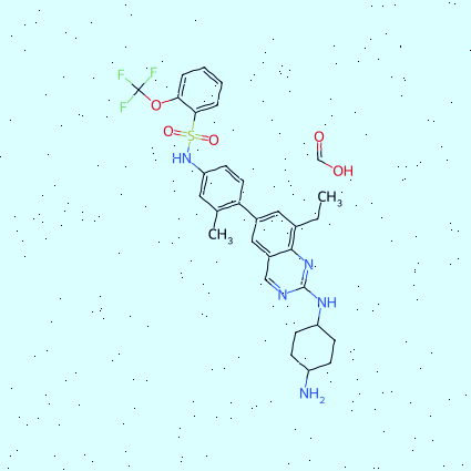 CCc1cc(-c2ccc(NS(=O)(=O)c3ccccc3OC(F)(F)F)cc2C)cc2cnc(NC3CCC(N)CC3)nc12.O=CO